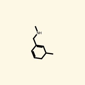 CNCC1=CC(C)CC=C1